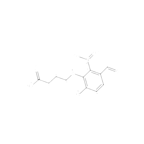 O=Cc1ccc(Cl)c(OCCCC(=O)O)c1[N+](=O)[O-]